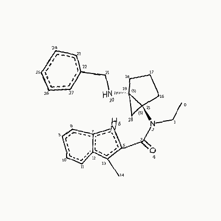 CCN(C(=O)c1[nH]c2ccccc2c1C)[C@]12CCC[C@]1(NCc1ccccc1)C2